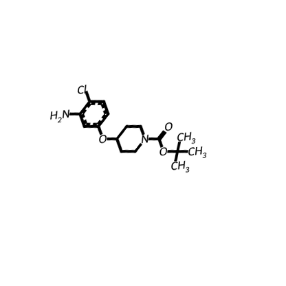 CC(C)(C)OC(=O)N1CCC(Oc2ccc(Cl)c(N)c2)CC1